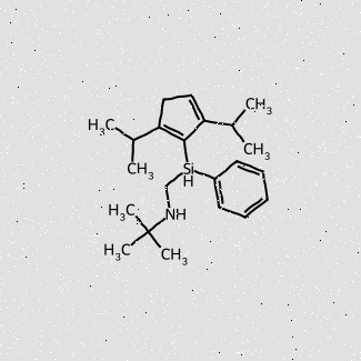 CC(C)C1=CCC(C(C)C)=C1[SiH](CNC(C)(C)C)c1ccccc1